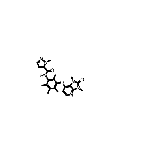 Cc1c(C)c(NC(=O)c2ccnn2C)c(C)c(Oc2ccnc3c2n(C)c(=O)n3C)c1C